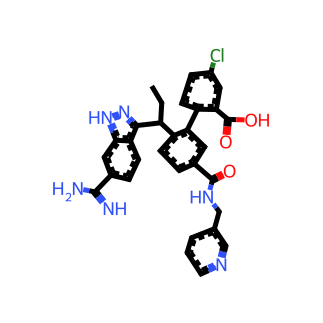 CCC(c1ccc(C(=O)NCc2cccnc2)cc1-c1ccc(Cl)cc1C(=O)O)c1n[nH]c2cc(C(=N)N)ccc12